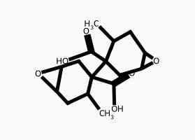 CC1CC2OC2CC1(C(=O)O)C1(C(=O)O)CC2OC2CC1C